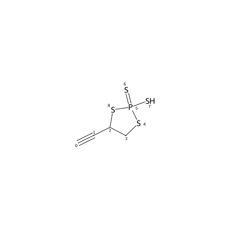 C#CC1CSP(=S)(S)S1